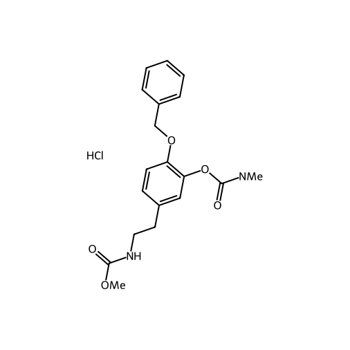 CNC(=O)Oc1cc(CCNC(=O)OC)ccc1OCc1ccccc1.Cl